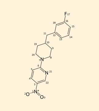 O=[N+]([O-])c1ccc(N2CCC(Cc3cccc(F)c3)CC2)nc1